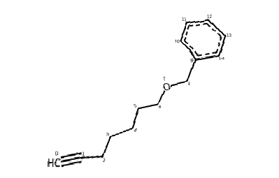 C#CCCCCCOCc1ccccc1